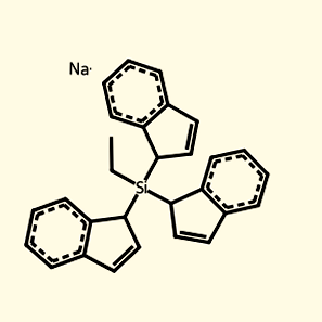 CC[Si](C1C=Cc2ccccc21)(C1C=Cc2ccccc21)C1C=Cc2ccccc21.[Na]